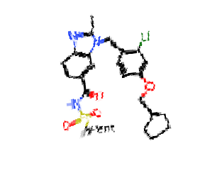 CCCCCS(=O)(=O)NC(=O)c1ccc2nc(C)n(Cc3ccc(OCC4CCCC4)cc3Cl)c2c1